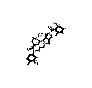 Cc1ccc(N(CCCN2CC3=CN(C(=O)c4c(C)cccc4C)CC3C2)C(=O)C2CCN(C(=O)O)CC2)cc1Cl